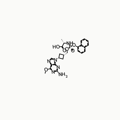 COc1nc(N)nc2c1ncn2[C@H]1C[C@@H](COP(=O)(N[C@@H](C)C(=O)O)Oc2cccc3ccccc23)C1